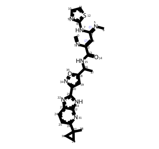 C=N/C(=C\C(=N/C)Nc1nccs1)C(=O)NC(C)c1cc(-c2nc3ccc(C4(C)CC4)nc3[nH]2)no1